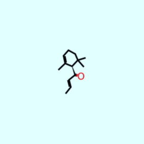 CC=CC(=O)[C@H]1C(C)=CCCC1(C)C